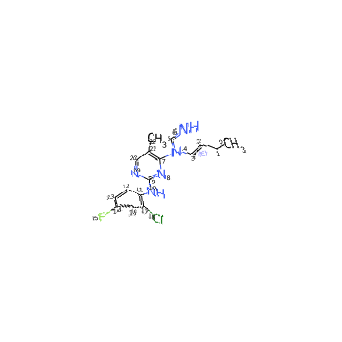 CC/C=C/N(C=N)c1nc(Nc2ccc(F)cc2Cl)ncc1C